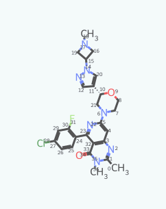 Cc1nc2cc(N3CCO[C@@H](c4cnn(C5CN(C)C5)c4)C3)nc(-c3ccc(Cl)cc3F)c2c(=O)n1C